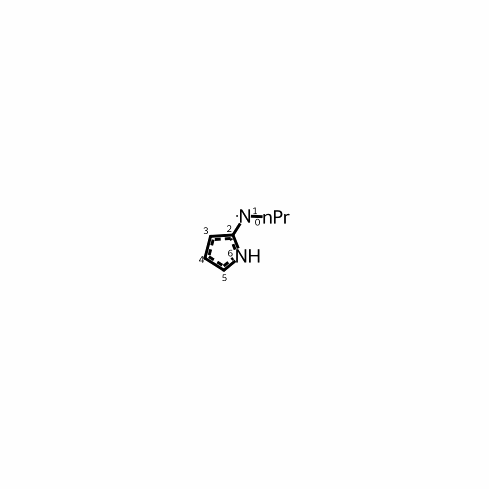 CCC[N]c1ccc[nH]1